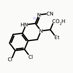 CCC(C(=O)O)N1Cc2c(ccc(Cl)c2Cl)N/C1=N/C#N